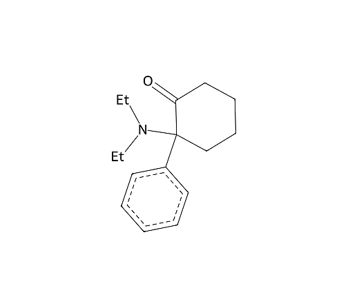 CCN(CC)C1(c2ccccc2)CCCCC1=O